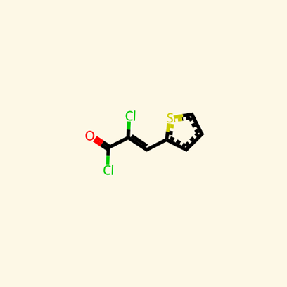 O=C(Cl)C(Cl)=Cc1cccs1